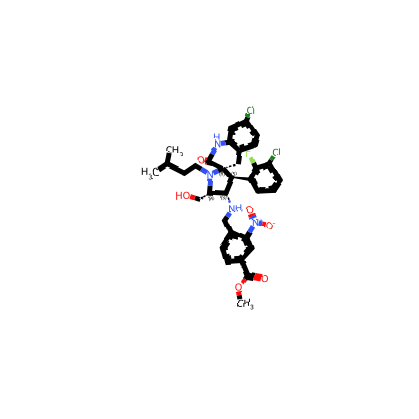 COC(=O)c1ccc(CN[C@@H]2[C@H](CO)N(CCC(C)C)[C@]3(Cc4ccc(Cl)cc4NC3=O)[C@H]2c2cccc(Cl)c2F)c([N+](=O)[O-])c1